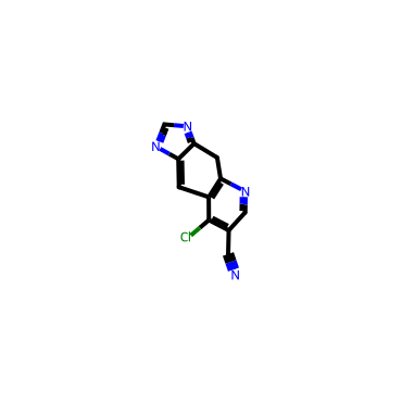 N#Cc1cnc2c(c1Cl)C=C1N=CN=C1C2